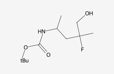 CC(CC(C)(F)CO)NC(=O)OC(C)(C)C